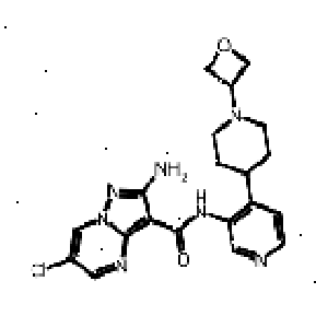 Nc1nn2cc(Cl)cnc2c1C(=O)Nc1cnccc1C1CCN(C2COC2)CC1